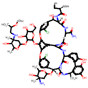 CCCCCCCCCCOC(CNC1(C)CC(OC2C(Oc3c4cc5cc3Oc3ccc(cc3Cl)[C@@H](OC3CC(C)(N)C(O)C(C)O3)[C@@H]3NC(=O)C(NC(=O)C5NC(=O)CC(C(N)=O)NC(=O)[C@@H](NC(=O)[C@@H](CC(C)C)NC)C(O)c5ccc(c(Cl)c5)O4)c4ccc(O)c(c4)-c4c(O)cc(O)cc4C(C(=O)O)NC3=O)OC(CO)C(O)C2O)OC(C)C1O)C(=O)O